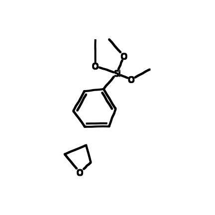 C1COC1.CO[Si](OC)(OC)c1ccccc1